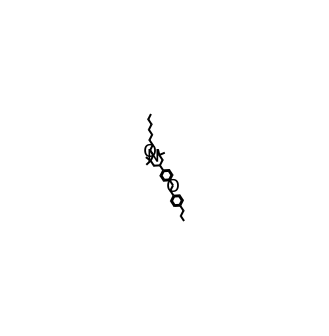 CCCCCCCON1C(C)(C)CC(c2ccc(OCc3ccc(CCC)cc3)cc2)CC1(C)C